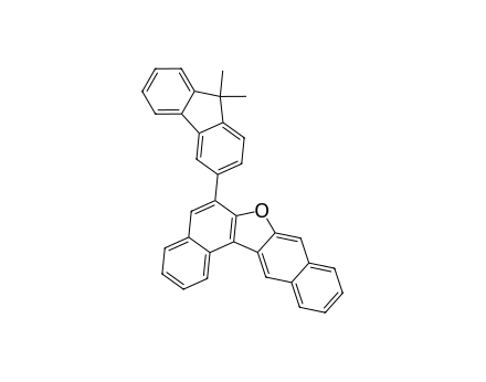 CC1(C)c2ccccc2-c2cc(-c3cc4ccccc4c4c3oc3cc5ccccc5cc34)ccc21